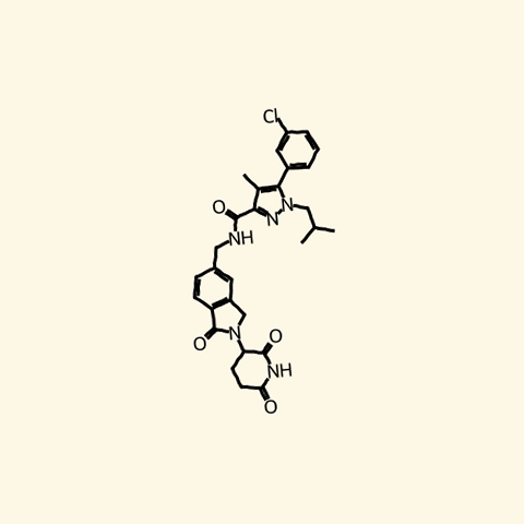 Cc1c(C(=O)NCc2ccc3c(c2)CN(C2CCC(=O)NC2=O)C3=O)nn(CC(C)C)c1-c1cccc(Cl)c1